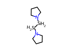 C1CCN([SiH2][SiH2]N2CCCC2)C1